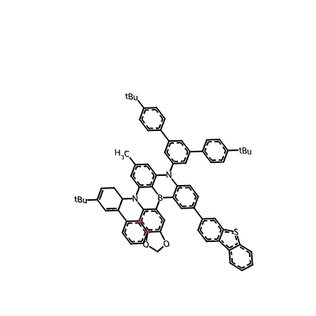 Cc1cc2c3c(c1)N(C1CC=C(C(C)(C)C)C=C1c1ccccc1)c1cc4c(cc1B3c1cc(-c3ccc5c(c3)sc3ccccc35)ccc1N2c1cc(-c2ccc(C(C)(C)C)cc2)cc(-c2ccc(C(C)(C)C)cc2)c1)OCO4